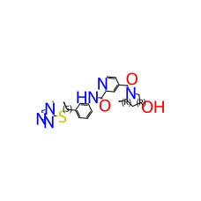 C[C@H](Sc1nncn1C)c1cccc(NC(=O)c2cc(C(=O)N3C[C@H](O)C[C@H]3C)ccn2)c1